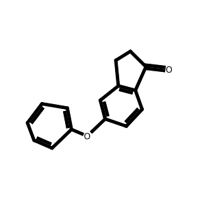 O=C1CCc2cc(Oc3ccccc3)ccc21